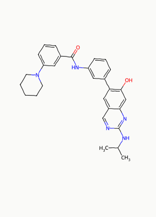 CC(C)Nc1ncc2cc(-c3cccc(NC(=O)c4cccc(N5CCCCC5)c4)c3)c(O)cc2n1